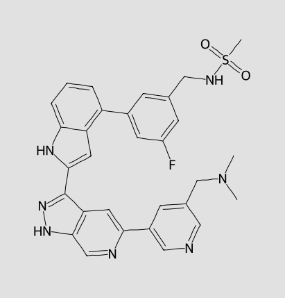 CN(C)Cc1cncc(-c2cc3c(-c4cc5c(-c6cc(F)cc(CNS(C)(=O)=O)c6)cccc5[nH]4)n[nH]c3cn2)c1